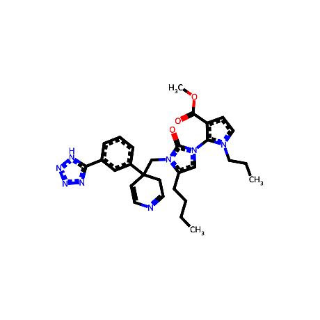 CCCCc1cn(-c2c(C(=O)OC)ccn2CCC)c(=O)n1CC1(c2cccc(-c3nnn[nH]3)c2)C=CN=CC1